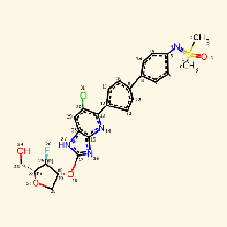 CS(C)(=O)=Nc1ccc(-c2ccc(-c3nc4nc(O[C@@H]5CO[C@H](CO)[C@H]5F)[nH]c4cc3Cl)cc2)cc1